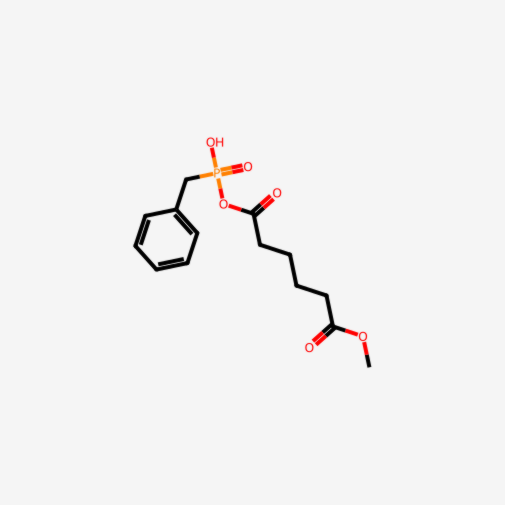 COC(=O)CCCCC(=O)OP(=O)(O)Cc1ccccc1